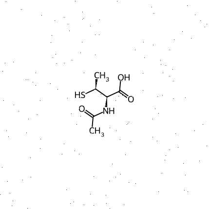 CC(=O)N[C@H](C(=O)O)[C@H](C)S